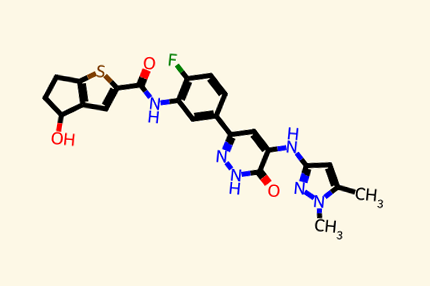 Cc1cc(Nc2cc(-c3ccc(F)c(NC(=O)c4cc5c(s4)CCC5O)c3)n[nH]c2=O)nn1C